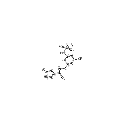 CS(=O)(=O)Nc1cc(Cl)cc(CNC(=O)c2c[nH]c(Br)c2)c1